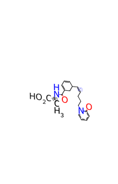 C[C@@H](NC(=O)C1=CC=CC(/C=C\CCCn2ccccc2=O)C1)C(=O)O